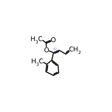 C=C/C=C(/OC(C)=O)c1ccccc1C